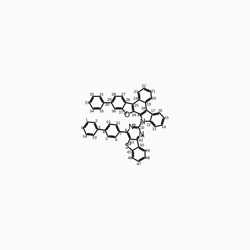 c1ccc(-c2ccc(-c3nc(-n4c5ccccc5c5c6ccccc6c6c7ccc(-c8ccccc8)cc7oc6c54)nc4c3sc3ccccc34)cc2)cc1